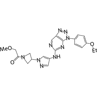 CCOc1ccc(-n2nnc3cnc(Nc4cnn(C5CN(C(=O)COC)C5)c4)nc32)cc1